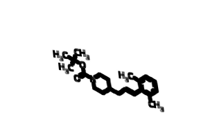 Cc1cccc(C)c1/C=C/CC1CCN(C(=O)OC(C)(C)C)CC1